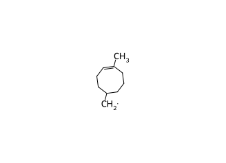 [CH2]C1CC/C=C(/C)CCC1